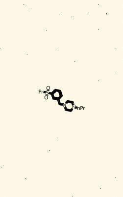 CCCN1CCN(Cc2cccc(S(=O)(=O)C(C)C)c2)CC1